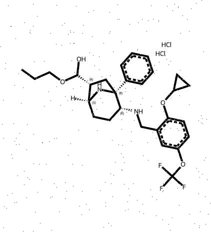 CCCOC(O)[C@@H]1C[C@]2(c3ccccc3)N[C@H]1CC[C@H]2NCc1cc(OC(F)(F)F)ccc1OC1CC1.Cl.Cl